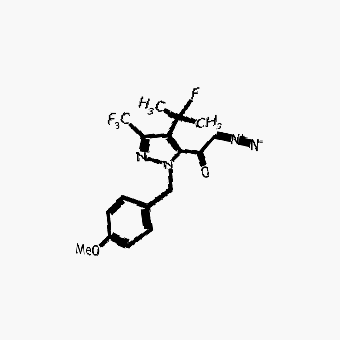 COc1ccc(Cn2nc(C(F)(F)F)c(C(C)(C)F)c2C(=O)C=[N+]=[N-])cc1